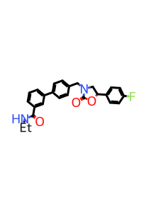 CCNC(=O)c1cccc(-c2ccc(CN3CC(c4ccc(F)cc4)OC3=O)cc2)c1